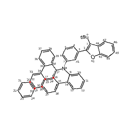 CC(C)(C)c1c(-c2cccc(N(c3ccccc3-c3ccc(-c4ccccc4)cc3)c3cc4ccccc4c4ccccc34)c2)oc2ccccc12